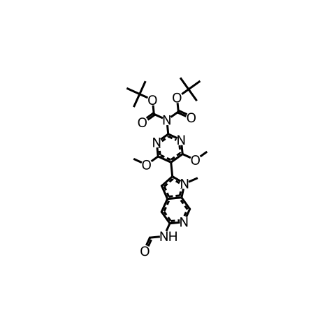 COc1nc(N(C(=O)OC(C)(C)C)C(=O)OC(C)(C)C)nc(OC)c1-c1cc2cc(NC=O)ncc2n1C